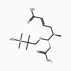 C[C@H](C/C=C/C(=O)O)[C@H](CC(N)=O)OCC(C)(C)[Si](C)(C)O